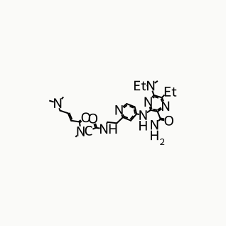 CCc1nc(C(N)=O)c(Nc2ccnc(CCNC(=O)CN(C)C(=O)/C=C/CN(C)C)c2)nc1N(C)CC